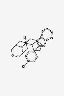 O=C(C1CCCC1)N1C2COCC1CN(Cc1c(-c3ccc(Cl)cc3)nc3ncccn13)C2